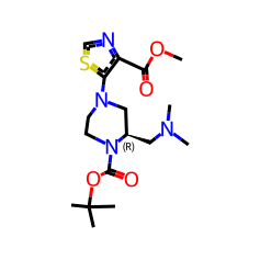 COC(=O)c1ncsc1N1CCN(C(=O)OC(C)(C)C)[C@H](CN(C)C)C1